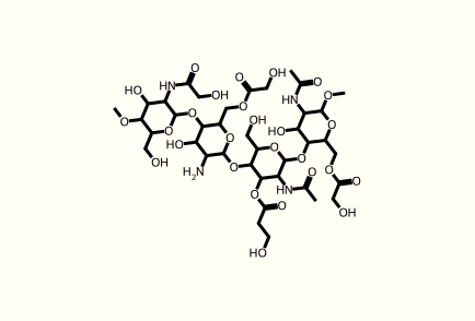 COC1OC(COC(=O)CO)C(OC2OC(CO)C(OC3OC(COC(=O)CO)C(OC4OC(CO)C(OC)C(O)C4NC(=O)CO)C(O)C3N)C(OC(=O)CCO)C2NC(C)=O)C(O)C1NC(C)=O